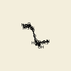 Cc1nc(OCCCCCOCCCOCC(=O)N[C@H](C(=O)N2C[C@H](O)C[C@H]2C(=O)NCc2ccc(-c3scnc3C)cc2)C(C)(C)C)ccc1N1C(=S)N(c2ccc(C#N)c(C(F)(F)F)c2F)C(=O)C1(C)C